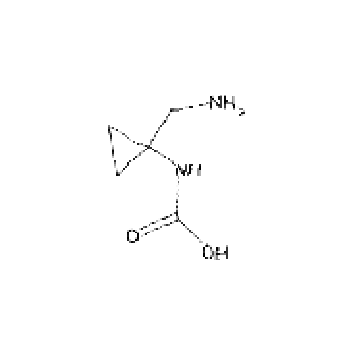 NCC1(NC(=O)O)CC1